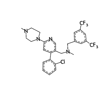 CN1CCN(c2cc(-c3ccccc3Cl)c(CN(C)Cc3cc(C(F)(F)F)cc(C(F)(F)F)c3)cn2)CC1